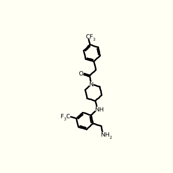 NCc1ccc(C(F)(F)F)cc1NC1CCN(C(=O)Cc2ccc(C(F)(F)F)cc2)CC1